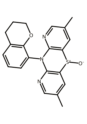 Cc1cnc2c(c1)[S+]([O-])c1cc(C)cnc1N2c1cccc2c1OCCC2